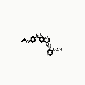 CN(c1ccc(OC2CC2)cc1)c1ccc2c(c1)OCC[C@H]2CNc1cnccc1C(=O)O